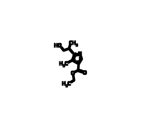 CCOC(=O)c1cnn(C(C)CO)c1C